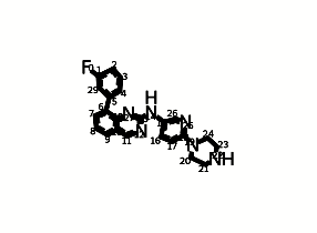 Fc1cccc(-c2cccc3cnc(Nc4ccc(N5CCNCC5)nc4)nc23)c1